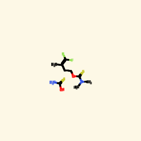 CC(CCOC(=S)N(C)C)=C(F)F.NC(O)=S